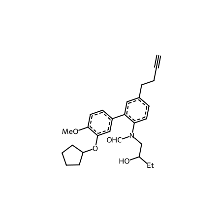 C#CCCc1ccc(N(C=O)CC(O)CC)c(-c2ccc(OC)c(OC3CCCC3)c2)c1